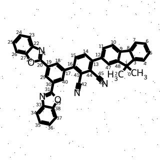 CC1(C)c2ccccc2-c2ccc(-c3ccc(-c4cc(-c5nc6ccccc6o5)cc(-c5nc6ccccc6o5)c4)c(C#N)c3C#N)cc21